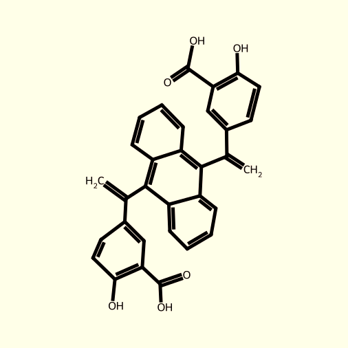 C=C(c1ccc(O)c(C(=O)O)c1)c1c2ccccc2c(C(=C)c2ccc(O)c(C(=O)O)c2)c2ccccc12